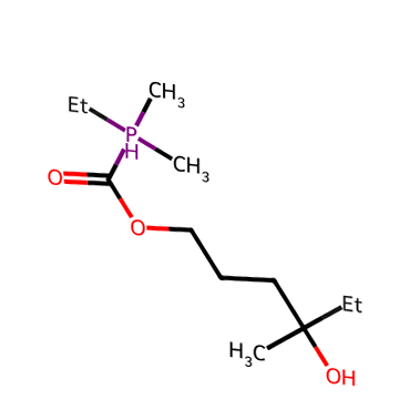 CCC(C)(O)CCCOC(=O)[PH](C)(C)CC